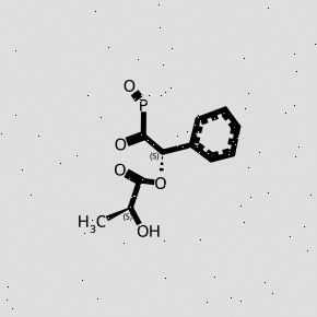 C[C@H](O)C(=O)O[C@H](C(=O)P=O)c1ccccc1